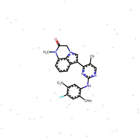 COc1cc(F)c([N+](=O)[O-])cc1Nc1ncc(C#N)c(-c2cn3c4c(cccc24)N(C)C(=O)C3)n1